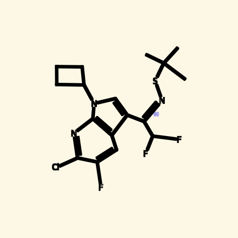 CC(C)(C)S/N=C(\c1cn(C2CCC2)c2nc(Cl)c(F)cc12)C(F)F